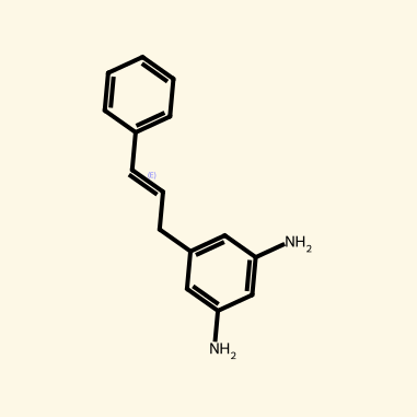 Nc1cc(N)cc(C/C=C/c2ccccc2)c1